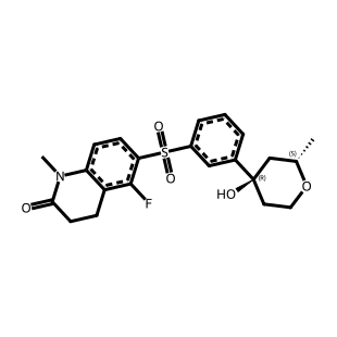 C[C@H]1C[C@@](O)(c2cccc(S(=O)(=O)c3ccc4c(c3F)CCC(=O)N4C)c2)CCO1